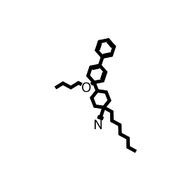 CCCCCCCC1(C#N)CCC(C2(OCCCC)C=CC(c3ccccc3)=CC2)CC1